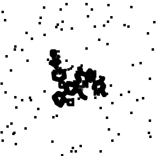 C=C(/C=C/c1cc(OC2CCN(C3C[S+]([O-])C3)CC2)c(-c2ccccc2Cl)cc1CCC)c1cnn(-c2cnc(C)cc2C)c1N